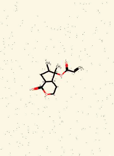 C=CC(=O)OC1(C)C(C)CC2C(=O)OCCC21